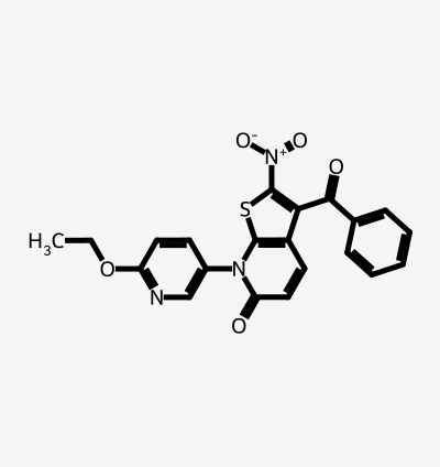 CCOc1ccc(-n2c(=O)ccc3c(C(=O)c4ccccc4)c([N+](=O)[O-])sc32)cn1